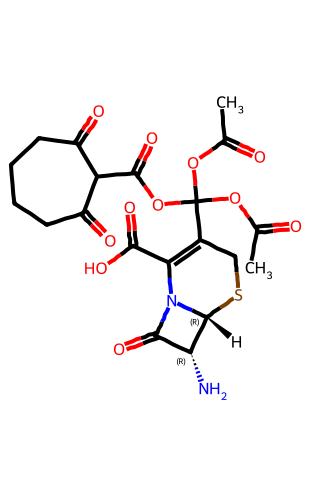 CC(=O)OC(OC(C)=O)(OC(=O)C1C(=O)CCCCC1=O)C1=C(C(=O)O)N2C(=O)[C@@H](N)[C@H]2SC1